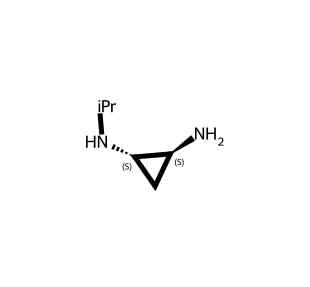 CC(C)N[C@H]1C[C@@H]1N